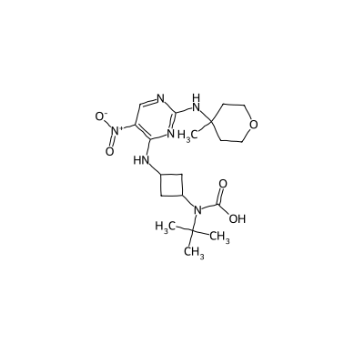 CC1(Nc2ncc([N+](=O)[O-])c(NC3CC(N(C(=O)O)C(C)(C)C)C3)n2)CCOCC1